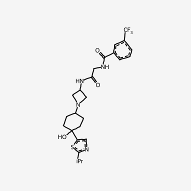 CC(C)c1ncc(C2(O)CCC(N3CC(NC(=O)CNC(=O)c4cccc(C(F)(F)F)c4)C3)CC2)s1